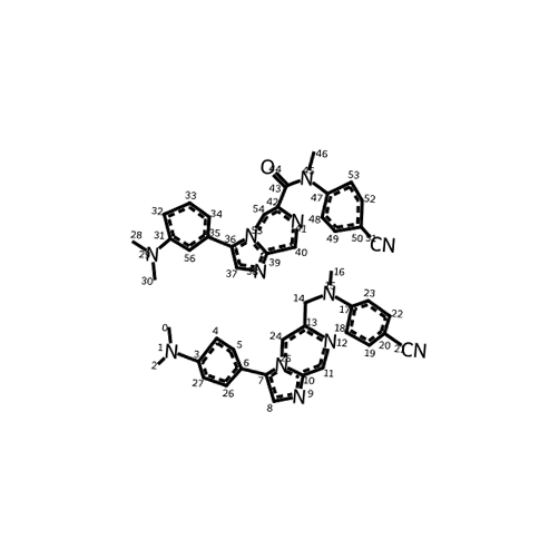 CN(C)c1ccc(-c2cnc3cnc(CN(C)c4ccc(C#N)cc4)cn23)cc1.CN(C)c1cccc(-c2cnc3cnc(C(=O)N(C)c4ccc(C#N)cc4)cn23)c1